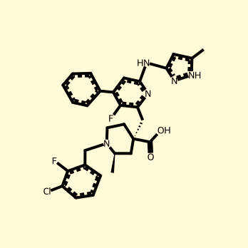 Cc1cc(Nc2cc(-c3ccccc3)c(F)c(C[C@@]3(C(=O)O)CCN(Cc4cccc(Cl)c4F)[C@H](C)C3)n2)n[nH]1